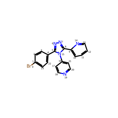 Brc1ccc(-c2nnc(-c3ccccn3)n2-c2ccncc2)cc1